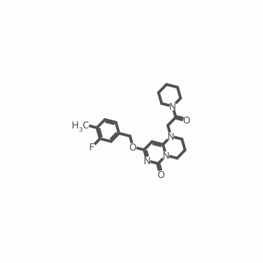 Cc1ccc(COc2cc3n(c(=O)n2)CCCN3CC(=O)N2CCCCC2)cc1F